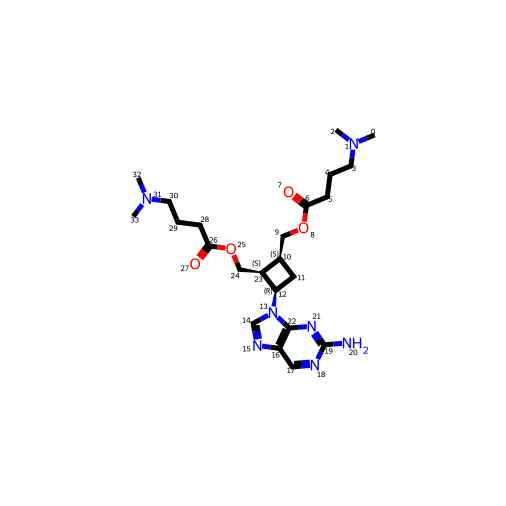 CN(C)CCCC(=O)OC[C@H]1C[C@@H](n2cnc3cnc(N)nc32)[C@H]1COC(=O)CCCN(C)C